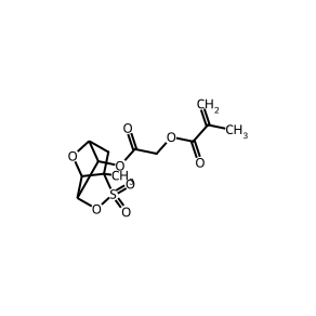 C=C(C)C(=O)OCC(=O)OC1C2CC3(C)C(O2)C1OS3(=O)=O